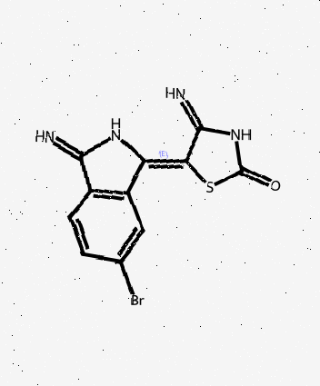 N=C1NC(=O)S/C1=C1/NC(=N)c2ccc(Br)cc21